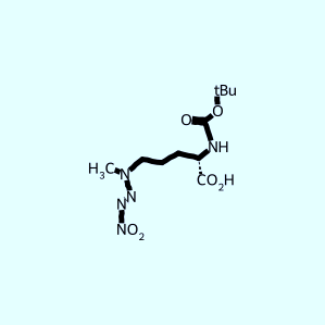 CN(CCC[C@H](NC(=O)OC(C)(C)C)C(=O)O)N=N[N+](=O)[O-]